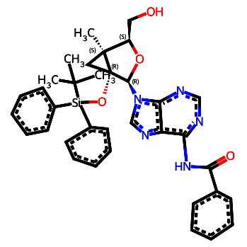 CC(C)(C)[Si](O[C@]12C[C@@]1(C)[C@@H](CO)O[C@H]2n1cnc2c(NC(=O)c3ccccc3)ncnc21)(c1ccccc1)c1ccccc1